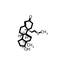 CSCC[C@]12CCC(=O)C=C1CC[C@@H]1C2=CC[C@]2(C)[C@@H](O)CC[C@@H]12